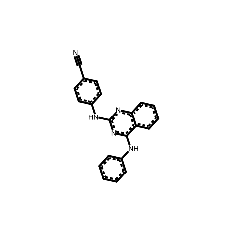 N#Cc1ccc(Nc2nc(Nc3ccccc3)c3ccccc3n2)cc1